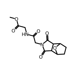 COC(=O)CNC(=O)CN1C(=O)C2C3CCC(O3)C2C1=O